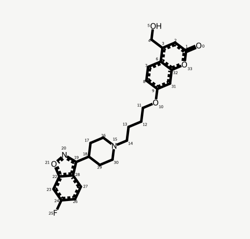 O=c1cc(CO)c2ccc(OCCCCN3CCC(c4noc5cc(F)ccc45)CC3)cc2o1